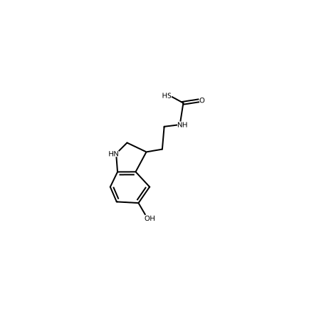 O=C(S)NCCC1CNc2ccc(O)cc21